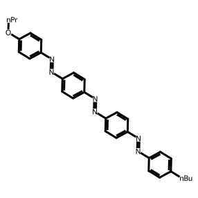 CCCCc1ccc(N=Nc2ccc(N=Nc3ccc(N=Nc4ccc(OCCC)cc4)cc3)cc2)cc1